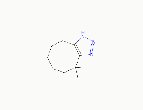 CC1(C)CCCCCc2[nH]nnc21